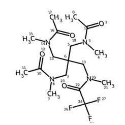 CC(=O)N(C)CC(CN(C)C(C)=O)(CN(C)C(C)=O)CN(C)C(=O)C(F)(F)F